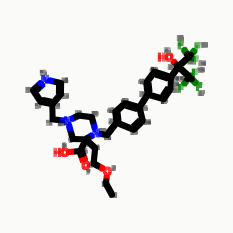 CCOCCC1(C(=O)O)CN(Cc2ccncc2)CCN1Cc1ccc(-c2ccc(C(O)(C(F)(F)F)C(F)(F)F)cc2)cc1